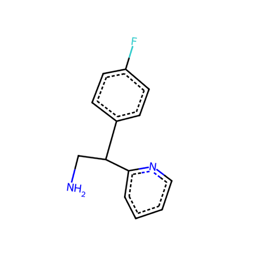 NCC(c1ccc(F)cc1)c1ccccn1